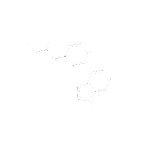 CNC(=S)Nc1cccc(-c2cccc3[nH]ccc23)c1